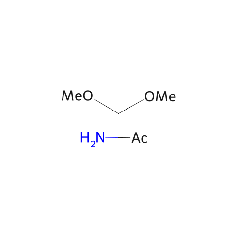 CC(N)=O.COCOC